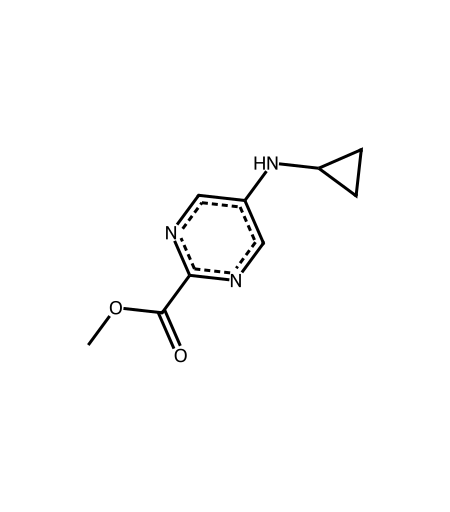 COC(=O)c1ncc(NC2CC2)cn1